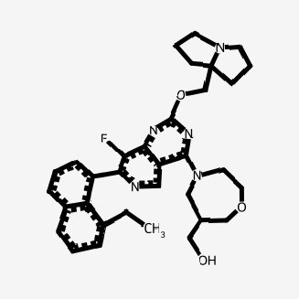 CCc1cccc2cccc(-c3ncc4c(N5CCOCC(CO)C5)nc(OCC56CCCN5CCC6)nc4c3F)c12